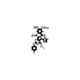 C=C(Oc1ccc(F)cc1)OC(C)[C@@H]1C[C@H](CC(C)C)N(C(=O)c2ccc(C(C)(C)C)c(OC)c2)[C@H]1c1nccs1